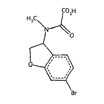 CN(C(=O)C(=O)O)C1COc2cc(Br)ccc21